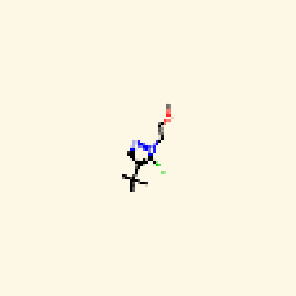 COCCn1ncc(C(C)(C)C)c1Cl